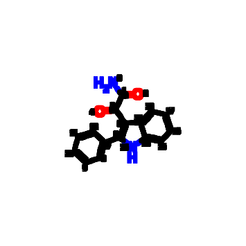 NC(=O)C(=O)c1c(-c2ccccc2)[nH]c2ccccc12